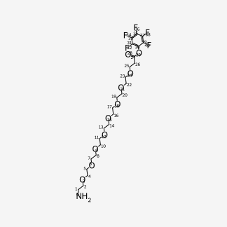 NCCOCCOCCOCCOCCOCCOCCOCCOCCC(=O)Oc1c(F)c(F)c(F)c(F)c1F